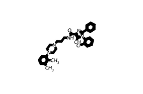 Cc1cccc(N2CCN(CCCNC(=O)c3nc(-c4ccccc4)n(-c4ccccc4Cl)c3C)CC2)c1C